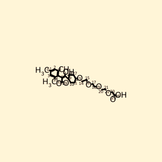 Cc1cc(C)c(C2=C(O)C3(CCC(OCCOCCOCCOCC(=O)O)CC3)OC2=O)c(C)c1